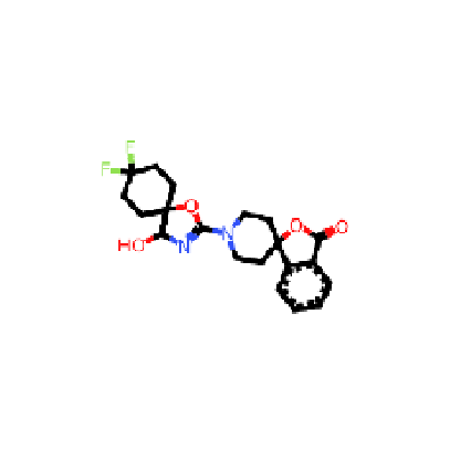 O=C1OC2(CCN(C3=NC(O)C4(CCC(F)(F)CC4)O3)CC2)c2ccccc21